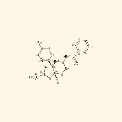 O=C(NC1N[C@@]2(c3ccc(F)cn3)CN(C(=O)O)C[C@H]2CS1)c1ccccc1